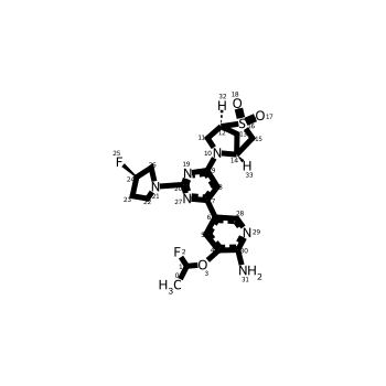 CC(F)Oc1cc(-c2cc(N3C[C@@H]4C[C@H]3CS4(=O)=O)nc(N3CC[C@@H](F)C3)n2)cnc1N